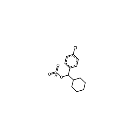 O=[SH](=O)OC([C]1CCCCC1)c1ccc(Cl)cc1